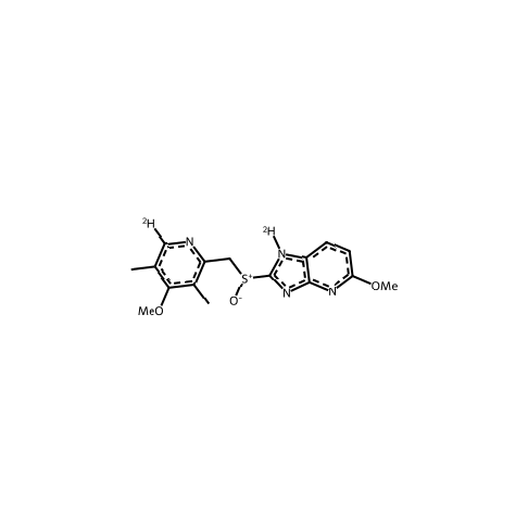 [2H]c1nc(C[S+]([O-])c2nc3nc(OC)ccc3n2[2H])c(C)c(OC)c1C